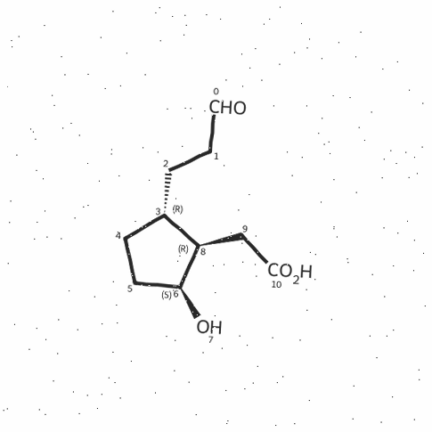 O=CCC[C@H]1CC[C@H](O)[C@@H]1CC(=O)O